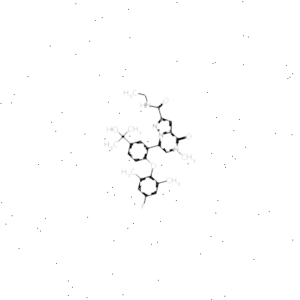 CCNC(=O)c1cc2c(=O)n(C)cc(-c3cc(C(C)(C)O)ccc3Oc3c(C)cc(F)cc3C)n2n1